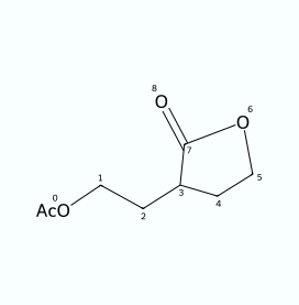 CC(=O)OCCC1CCOC1=O